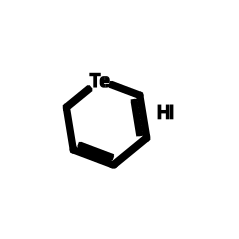 C1=CC[Te]C=C1.I